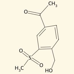 CC(=O)c1ccc(CO)c(S(C)(=O)=O)c1